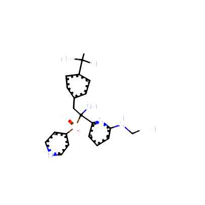 CCCCC(C)(C)c1ccc(CC(N)(c2cccc(NCC(=O)O)n2)S(=O)(=O)c2ccncc2)cc1